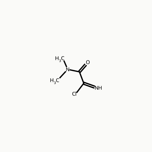 CN(C)C(=O)C(=N)Cl